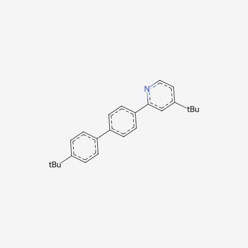 CC(C)(C)c1ccc(-c2ccc(-c3cc(C(C)(C)C)ccn3)cc2)cc1